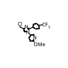 COc1ccc(-n2cc(CCl)nc2-c2ccc(C(F)(F)F)cc2)cn1